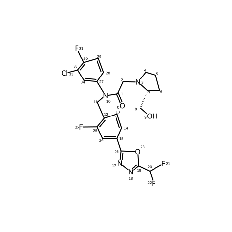 O=C(CN1CCC[C@@H]1CO)N(Cc1ccc(-c2nnc(C(F)F)o2)cc1F)c1ccc(F)c(Cl)c1